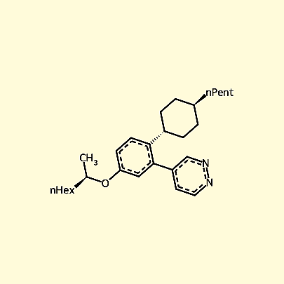 CCCCCC[C@@H](C)Oc1ccc([C@H]2CC[C@H](CCCCC)CC2)c(-c2ccnnc2)c1